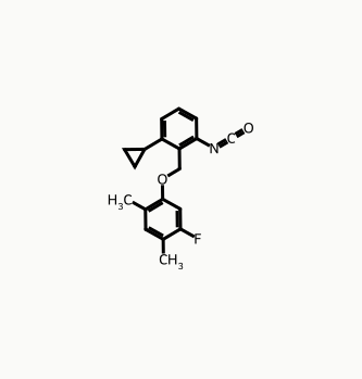 Cc1cc(C)c(OCc2c(N=C=O)cccc2C2CC2)cc1F